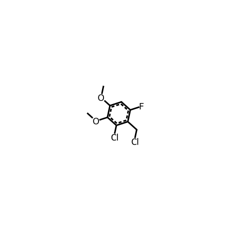 COc1cc(F)c(CCl)c(Cl)c1OC